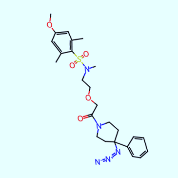 COc1cc(C)c(S(=O)(=O)N(C)CCOCC(=O)N2CCC(N=[N+]=[N-])(c3ccccc3)CC2)c(C)c1